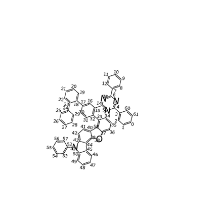 c1ccc(-c2nc(-c3ccccc3)nc(-c3cc(-c4ccccc4-c4ccccc4)ccc3-c3cccc4oc5c(ccc6c5c5ccccc5n6-c5ccccc5)c34)n2)cc1